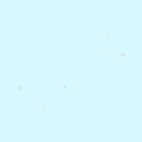 CC(O)CNc1ccc(B(O)O)cc1